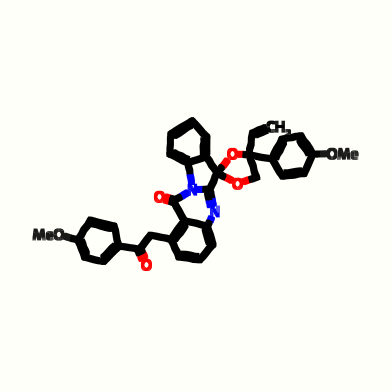 C=CC1(c2ccc(OC)cc2)COC2(O1)c1ccccc1-n1c2nc2cccc(CC(=O)c3ccc(OC)cc3)c2c1=O